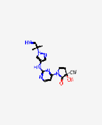 CC(C)(C=N)n1cc(Nc2nccc(N3CC[C@](O)(C#N)C3=O)n2)cn1